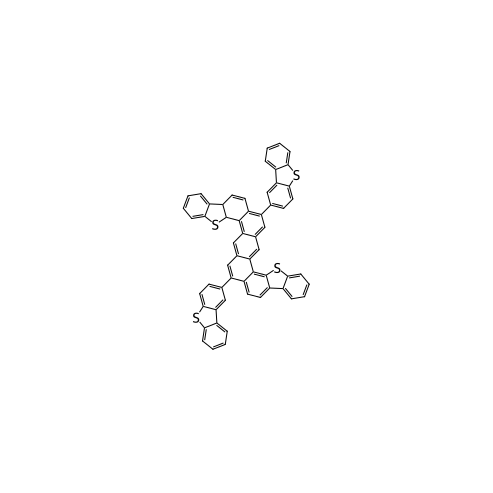 C1=CC2c3ccccc3SC2c2c1c(-c1ccc3sc4ccccc4c3c1)cc1cc3c(cc(-c4ccc5sc6ccccc6c5c4)c4ccc5c6ccccc6sc5c43)cc21